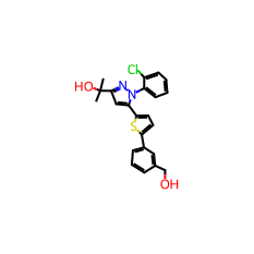 CC(C)(O)c1cc(-c2ccc(-c3cccc(CO)c3)s2)n(-c2ccccc2Cl)n1